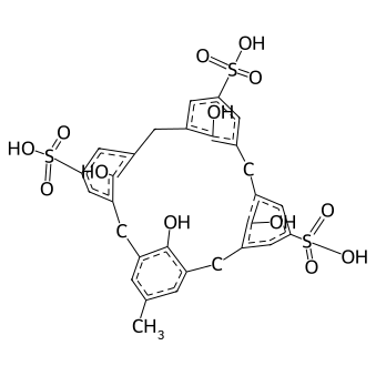 Cc1cc2c(O)c(c1)Cc1cc(S(=O)(=O)O)cc(c1O)Cc1cc(S(=O)(=O)O)cc(c1O)Cc1cc(S(=O)(=O)O)cc(c1O)C2